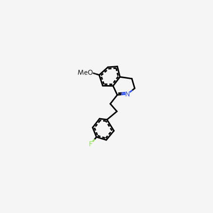 COc1ccc2c(c1)C(CCc1ccc(F)cc1)=NCC2